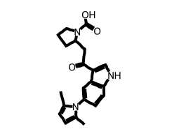 Cc1ccc(C)n1-c1ccc2[nH]cc(C(=O)CC3CCCN3C(=O)O)c2c1